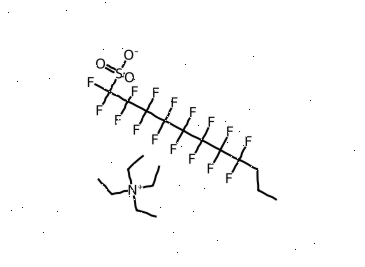 CCCC(F)(F)C(F)(F)C(F)(F)C(F)(F)C(F)(F)C(F)(F)C(F)(F)C(F)(F)S(=O)(=O)[O-].CC[N+](CC)(CC)CC